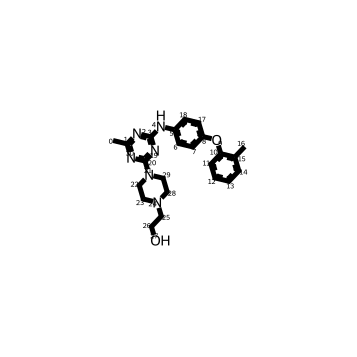 Cc1nc(Nc2ccc(Oc3ccccc3C)cc2)nc(N2CCN(CCO)CC2)n1